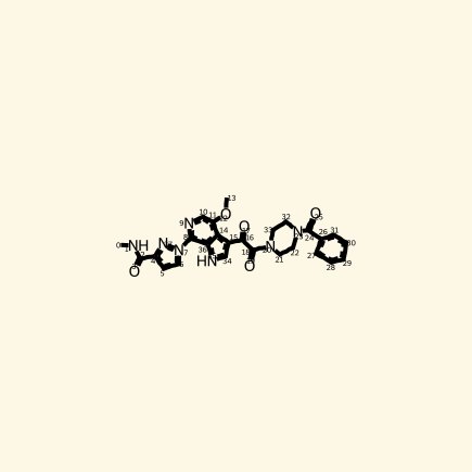 CNC(=O)c1ccn(-c2ncc(OC)c3c(C(=O)C(=O)N4CCN(C(=O)c5ccccc5)CC4)c[nH]c23)n1